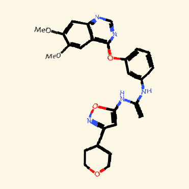 C=C(Nc1cccc(Oc2ncnc3cc(OC)c(OC)cc23)c1)Nc1cc(C2CCOCC2)no1